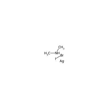 BrI.CNC.[Ag]